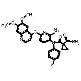 COc1cc2nccc(Oc3ccc(N(C(=O)C4(C(N)=O)CC4)c4ccc(F)cc4)c(C)n3)c2cc1OC